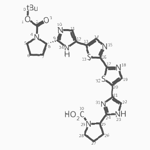 CC(C)(C)OC(=O)N1CCC[C@H]1c1ncc(-c2cnc(-c3ncc(-c4c[nH]c(C5CCCN5C(=O)O)n4)s3)s2)[nH]1